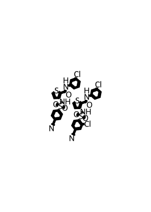 N#Cc1ccc(S(=O)(=O)Nc2ccsc2C(=O)Nc2cccc(Cl)c2)c(Cl)c1.N#Cc1ccc(S(=O)(=O)Nc2ccsc2C(=O)Nc2cccc(Cl)c2)cc1